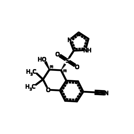 CC1(C)Oc2ccc(C#N)cc2[C@@H](S(=O)(=O)c2ncc[nH]2)[C@@H]1O